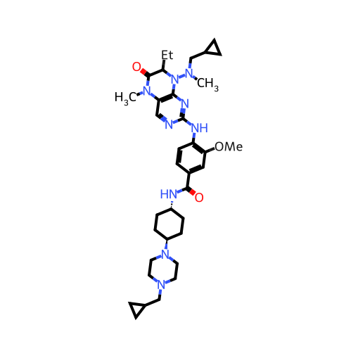 CCC1C(=O)N(C)c2cnc(Nc3ccc(C(=O)N[C@H]4CC[C@H](N5CCN(CC6CC6)CC5)CC4)cc3OC)nc2N1N(C)CC1CC1